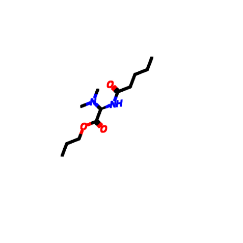 CCCCC(=O)N[C@@H](C(=O)OCCC)N(C)C